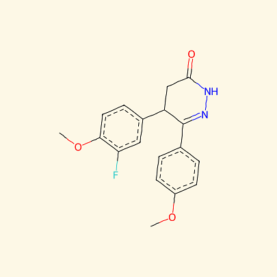 COc1ccc(C2=NNC(=O)CC2c2ccc(OC)c(F)c2)cc1